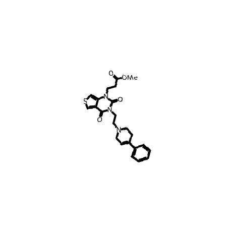 COC(=O)CCn1c(=O)n(CCN2CC=C(c3ccccc3)CC2)c(=O)c2cscc21